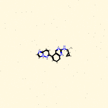 C[C@@H](Nc1ncc2c(n1)CCC=C2c1ccc2nccn2n1)C1CC1